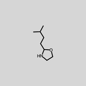 CC(C)CCC1NCCO1